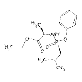 CCOC(=O)[C@@H](C)N[P@](=O)(CC(C)C)Oc1ccccc1